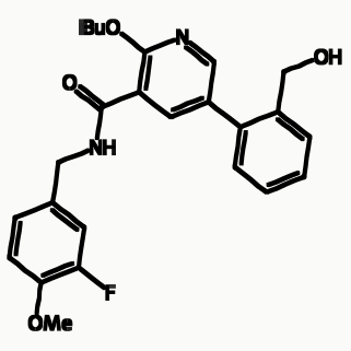 COc1ccc(CNC(=O)c2cc(-c3ccccc3CO)cnc2OCC(C)C)cc1F